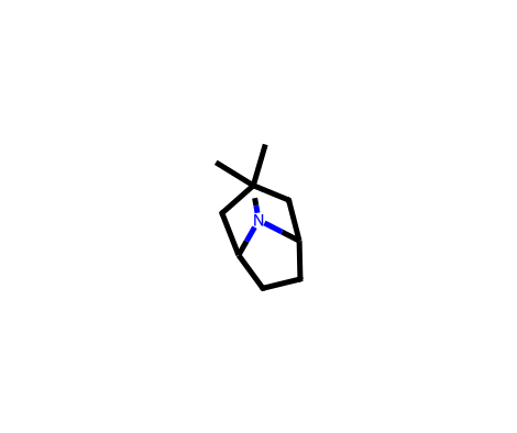 CN1C2CCC1CC(C)(C)C2